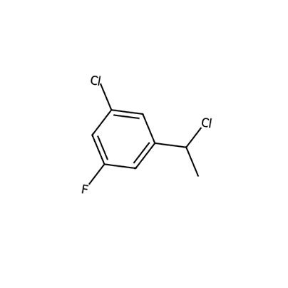 CC(Cl)c1cc(F)cc(Cl)c1